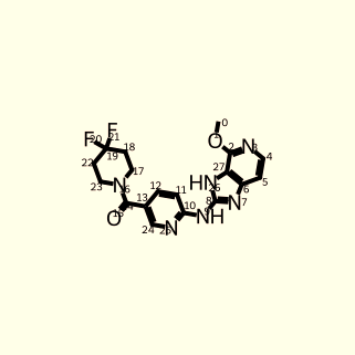 COc1nccc2nc(Nc3ccc(C(=O)N4CCC(F)(F)CC4)cn3)[nH]c12